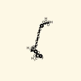 CNC(=O)c1c(-c2ccc(F)cc2)oc2cc(N(CCOCCOCCOCCOCCOCc3ccc(C(=O)/C=C(\O)C(=O)O)cc3)S(C)(=O)=O)c(C3CC3)cc12